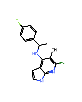 CC(Nc1c(C#N)c(Cl)nc2[nH]ccc12)c1ccc(F)cc1